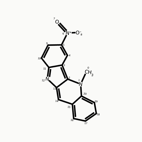 Cn1c2c3cc([N+](=O)[O-])ccc3nc-2cc2ccccc21